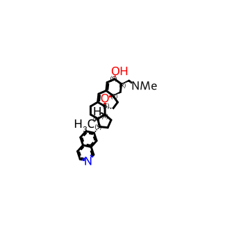 CNC[C@H]1C[C@@]23CC[C@@]4(O2)C(=CC3=C[C@@H]1O)CC[C@]1(C)[C@@H](c2ccc3ccncc3c2)CC[C@H]14